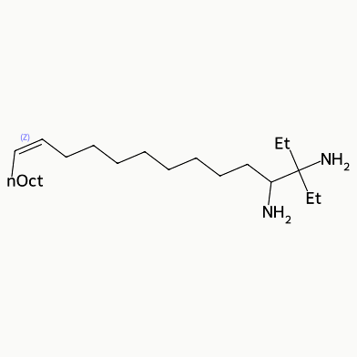 CCCCCCCC/C=C\CCCCCCCCC(N)C(N)(CC)CC